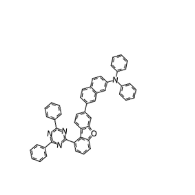 c1ccc(-c2nc(-c3ccccc3)nc(-c3cccc4oc5cc(-c6ccc7ccc(N(c8ccccc8)c8ccccc8)cc7c6)ccc5c34)n2)cc1